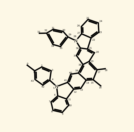 Cc1ccc(-n2c3ccccc3c3cc4c(C)c(C)c5cc6c7ccccc7n(-c7ccc(C)cc7)c6cc5c4cc32)cc1